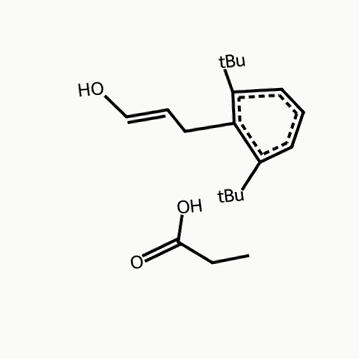 CC(C)(C)c1cccc(C(C)(C)C)c1CC=CO.CCC(=O)O